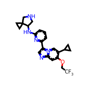 FC(F)(F)COc1cc2ncc(-c3cccc(NC4CNCC45CC5)n3)n2cc1C1CC1